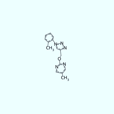 Cc1cnc(OCc2cn(-c3ccccc3C)nn2)nc1